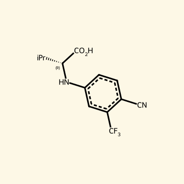 CC(C)[C@@H](Nc1ccc(C#N)c(C(F)(F)F)c1)C(=O)O